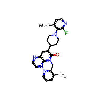 COc1ccnc(F)c1N1CCC(c2cc3nccnc3n(Cc3ncccc3C(F)(F)F)c2=O)CC1